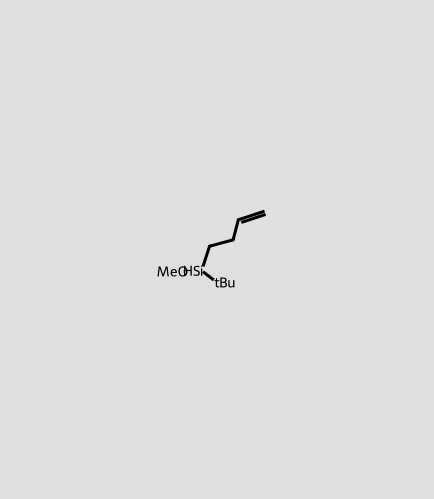 C=CCC[SiH](OC)C(C)(C)C